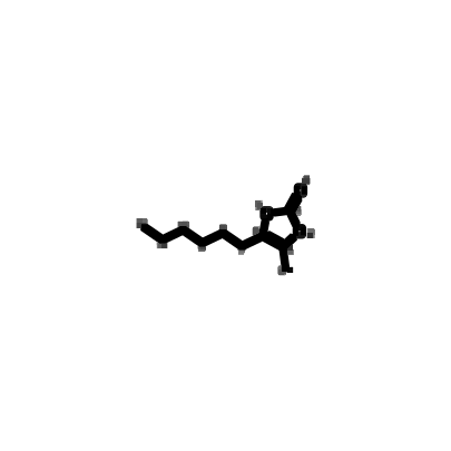 [CH2]c1oc(=O)oc1CCCCCC